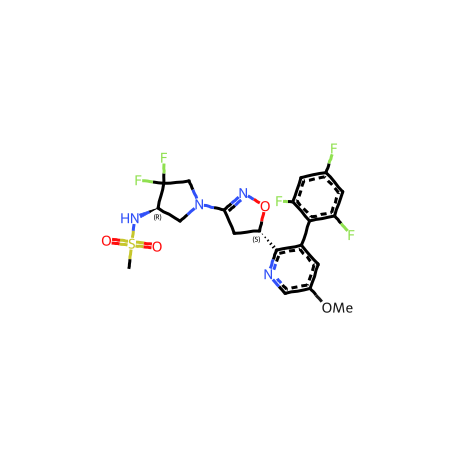 COc1cnc([C@@H]2CC(N3C[C@@H](NS(C)(=O)=O)C(F)(F)C3)=NO2)c(-c2c(F)cc(F)cc2F)c1